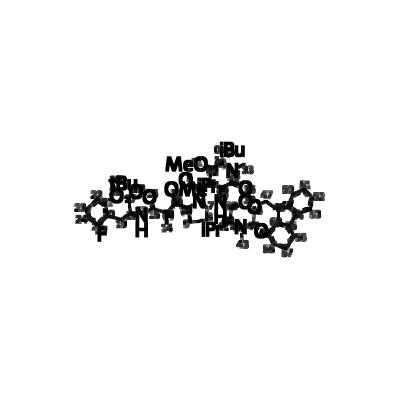 CC[C@H](C)[C@@H]([C@@H](CC(=O)N1CCC[C@H]1[C@H](OC)[C@@H](C)C(=O)NC(Cc1ccccc1F)C(=O)OC(C)(C)C)OC)N(C)C(=O)[C@@H](NC(=O)[C@H](C(C)C)N(C)C(=O)OCC1c2ccccc2-c2ccccc21)C(C)C